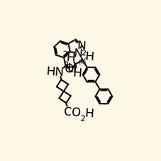 [2H]C([2H])([2H])[C@]([2H])(c1ccc(-c2ccccc2)cc1)n1ncc2cccc(C(=O)NC3CC4(C3)CC(C(=O)O)C4)c21